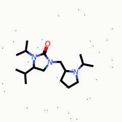 CC(C)C1CN(CC2CCCN2C(C)C)C(=O)N1C(C)C